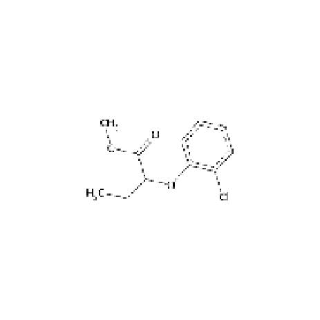 CCC(Oc1ccccc1Cl)C(=O)OC